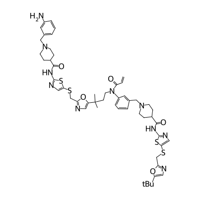 C=CC(=O)N(CCC(C)(C)c1cnc(CSc2cnc(NC(=O)C3CCN(Cc4cccc(N)c4)CC3)s2)o1)c1cccc(CN2CCC(C(=O)Nc3ncc(SCc4ncc(C(C)(C)C)o4)s3)CC2)c1